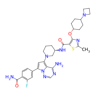 Cc1nc(OC2CCC(N3CCC3)CC2)c(C(=O)N[C@@H]2CCCN(c3cc(-c4ccc(C(N)=O)c(F)c4)n4ncnc(N)c34)C2)s1